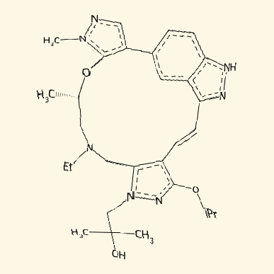 CCN1Cc2c(c(OC(C)C)nn2CC(C)(C)O)/C=C/c2n[nH]c3ccc(cc23)-c2cnn(C)c2O[C@@H](C)C1